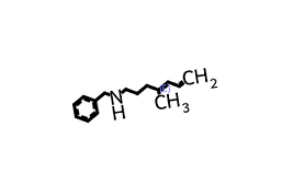 C=C/C=C(\C)CCCNCc1ccccc1